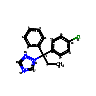 CCC(c1ccccc1)(c1ccc(Cl)cc1)n1cncn1